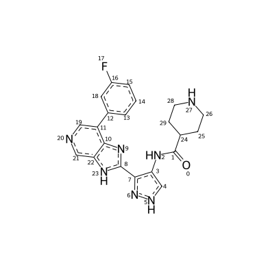 O=C(Nc1c[nH]nc1-c1nc2c(-c3cccc(F)c3)cncc2[nH]1)C1CCNCC1